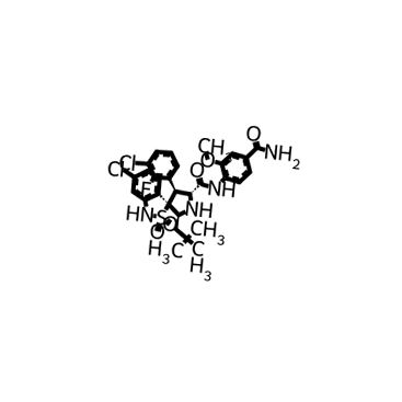 COc1cc(C(N)=O)ccc1NC(=O)[C@@H]1N[C@@H](CC(C)(C)C)[C@]2(c3ccc(Cl)cc3NS2(=O)=O)[C@H]1c1cccc(Cl)c1F